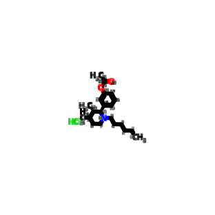 CCCCCCN1CCC(C)[C@H](C)[C@H]1c1cccc(OC(C)=O)c1.Cl